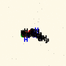 CC(C)n1c(=O)c(-c2ccc(NS(=O)(=O)c3ccccc3Cl)nc2)cc2cnc(NC3CCC(N(C)C)CC3)nc21